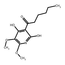 CCCCCC(=O)c1c(O)nc(OC)c(OC)c1O